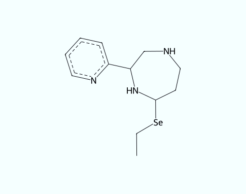 CC[Se]C1CCNCC(c2ccccn2)N1